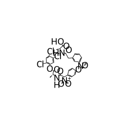 C[C@H](NC(=O)C(c1ccccc1)[N+](=O)[O-])C(=O)Oc1cc(Cl)c(Cl)cc1Cl.C[C@H](NC(=O)Cc1cccc([N+](=O)[O-])c1)C(=O)O